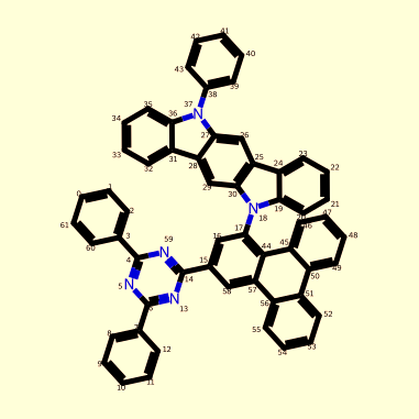 c1ccc(-c2nc(-c3ccccc3)nc(-c3cc(-n4c5ccccc5c5cc6c(cc54)c4ccccc4n6-c4ccccc4)c4c5ccccc5c5ccccc5c4c3)n2)cc1